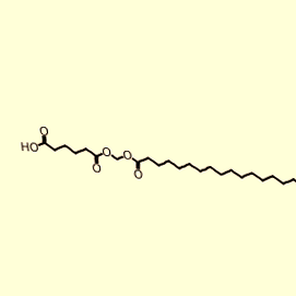 CCCCCCCCCCCCCCCCCC(=O)OCOC(=O)CCCCC(=O)O